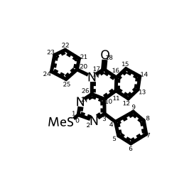 CSc1nc(-c2ccccc2)c2c3ccccc3c(=O)n(-c3ccccc3)c2n1